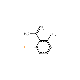 C=C(C)c1c(C)cccc1P